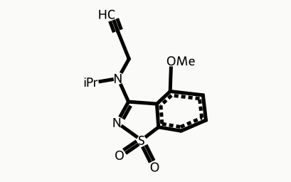 C#CCN(C1=NS(=O)(=O)c2cccc(OC)c21)C(C)C